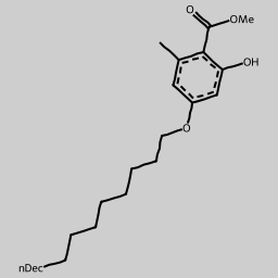 CCCCCCCCCCCCCCCCCCOc1cc(C)c(C(=O)OC)c(O)c1